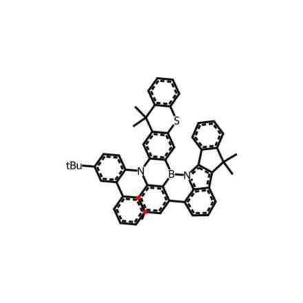 Cc1cc2c3c(c1)N(c1ccc(C(C)(C)C)cc1-c1ccccc1)c1cc4c(cc1B3n1c3c(c5cccc-2c51)C(C)(C)c1ccccc1-3)Sc1ccccc1C4(C)C